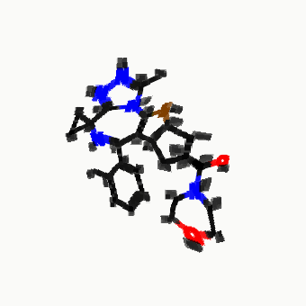 Cc1ccccc1C1=NC2(CC2)c2nnc(C)n2-c2sc3c(c21)C[C@H](C(=O)N1CCOCC1)C3